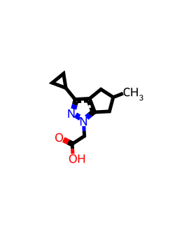 CC1Cc2c(C3CC3)nn(CC(=O)O)c2C1